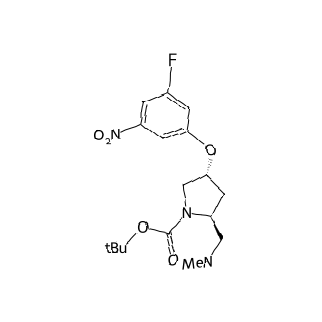 CNC[C@@H]1C[C@@H](Oc2cc(F)cc([N+](=O)[O-])c2)CN1C(=O)OC(C)(C)C